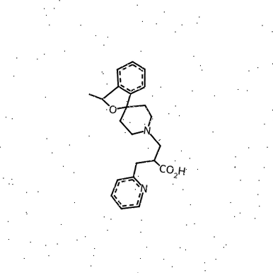 CC1OC2(CCN(CC(Cc3ccccn3)C(=O)O)CC2)c2ccccc21